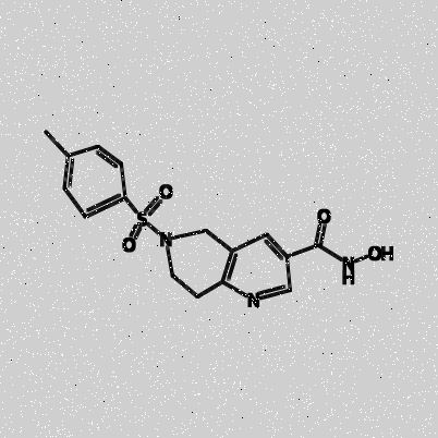 Cc1ccc(S(=O)(=O)N2CCc3ncc(C(=O)NO)cc3C2)cc1